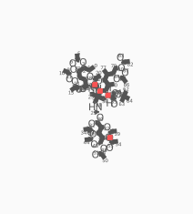 CCC(OC(C)=O)C(OC(C)=O)C(OC(C)=O)C(OC(C)=O)C(=O)NCC(CNCOC(OC(C)=O)C(OC(C)=O)C(OC(C)=O)C(COC(C)=O)OC(C)=O)(CNC(=O)OC(C)(C)C)CC(NO)C(C)C(OC(C)=O)C(C)C(COC(C)=O)OC(C)=O